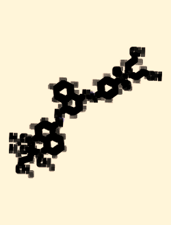 CCCC1(C)N(C)c2cccc3c(/N=N/c4ccc(/N=N/c5ccc(S(=O)(=O)N(CCO)CCO)cc5)c5ccccc45)ccc(c23)N1C